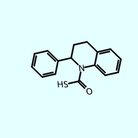 O=C(S)N1c2ccccc2CCC1c1ccccc1